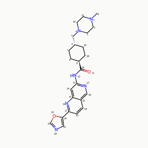 CN1CCN(C[C@H]2CC[C@H](C(=O)Nc3cc4nc(-c5cnco5)ccc4cn3)CC2)CC1